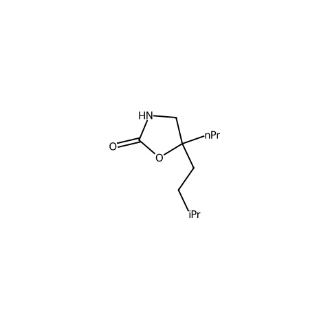 CCCC1(CCC(C)C)CNC(=O)O1